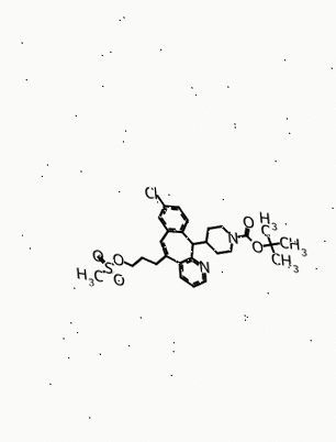 CC(C)(C)OC(=O)N1CCC(C2c3ccc(Cl)cc3C=C(CCCOS(C)(=O)=O)c3cccnc32)CC1